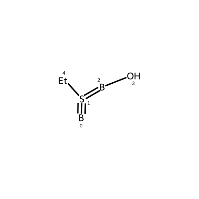 B#S(=BO)CC